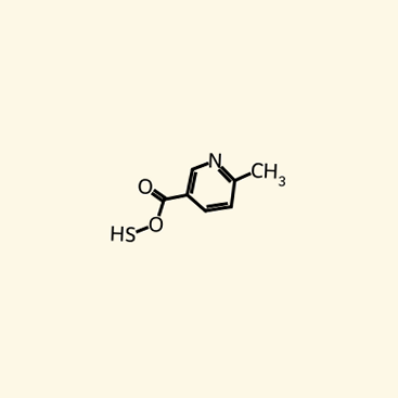 Cc1ccc(C(=O)OS)cn1